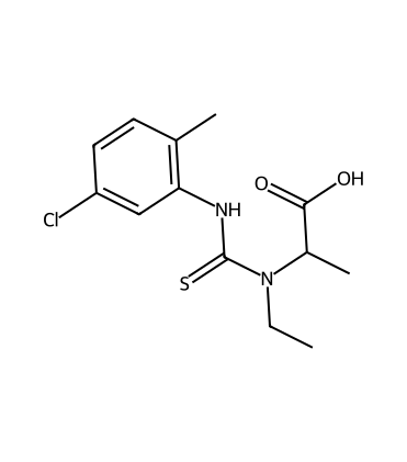 CCN(C(=S)Nc1cc(Cl)ccc1C)C(C)C(=O)O